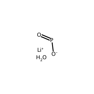 O.O=P[O-].[Li+]